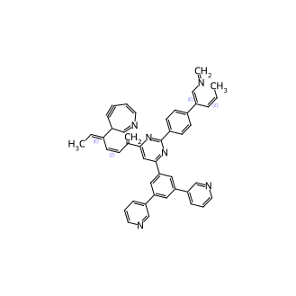 C=N/C=C(\C=C/C)c1ccc(-c2nc(C(=C)/C=C\C(=C/C)C3C#CC=CN=C3)cc(-c3cc(-c4cccnc4)cc(-c4cccnc4)c3)n2)cc1